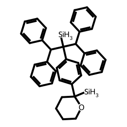 [SiH3]C1(c2ccc(C([SiH3])(C(c3ccccc3)c3ccccc3)C(c3ccccc3)c3ccccc3)cc2)CCCCO1